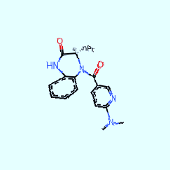 CCC[C@H]1C(=O)Nc2ccccc2N1C(=O)c1ccc(N(C)C)nc1